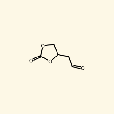 O=CCC1COC(=O)O1